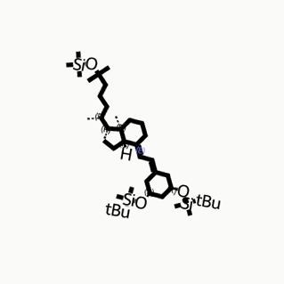 C[C@H](CCCC(C)(C)O[Si](C)(C)C)[C@H]1CC[C@H]2/C(=C/C=C3C[C@@H](O[Si](C)(C)C(C)(C)C)C[C@H](O[Si](C)(C)C(C)(C)C)C3)CCC[C@]12C